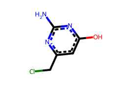 Nc1nc(O)cc(CCl)n1